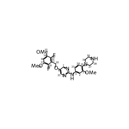 COc1cc(Nc2ncc(OCc3c(F)c(OC)cc(OC)c3F)cn2)ccc1N1CCNCC1